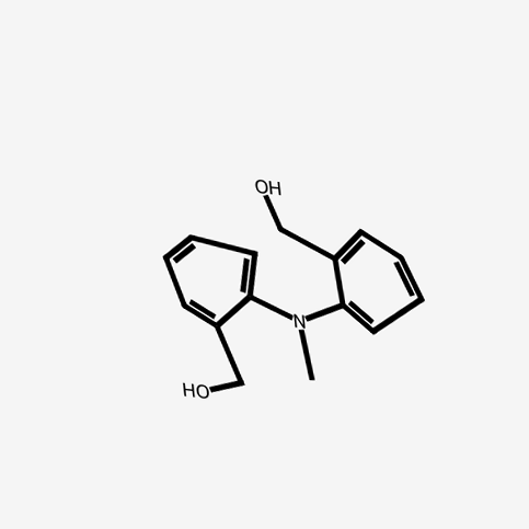 CN(c1ccccc1CO)c1ccccc1CO